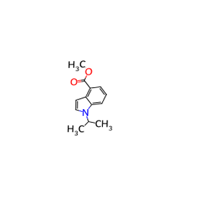 COC(=O)c1cccc2c1ccn2C(C)C